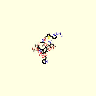 CC[C@H]1OC(=O)[C@H](C)[C@@H](OC(=O)Cc2ccccn2)[C@H](C)[C@@H](O[C@@H]2O[C@H](C)C[C@H](N(C)C)[C@H]2OC(C)=O)[C@@]2(C)C[C@@H](C)/C(=N\C(C)=O)[C@H](C)[C@@H](OCC(=NOCc3ccc(-c4cccc(N)n4)s3)CO2)[C@]1(C)O